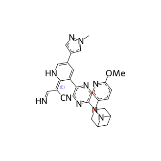 COc1ccc(CN2C3CC2CN(c2cnc(C4=CC(c5cnn(C)c5)=CN/C4=C(/C#N)C=N)cn2)C3)cn1